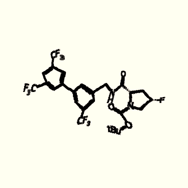 CC(C)(C)OC(=O)N1C[C@@H](F)C[C@H]1C(=O)NCc1cc(-c2cc(C(F)(F)F)cc(C(F)(F)F)c2)cc(C(F)(F)F)c1